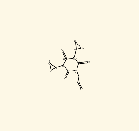 C=CCN1C(=O)C(C2CO2)C(=O)N(C2CO2)C1=O